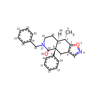 C[C@@H]1c2oncc2C[C@]2(c3ccccc3)C(=O)N(Cc3ccccc3)CC[C@@H]12